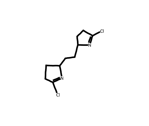 ClC1=NC(CCC2CCC(Cl)=N2)CC1